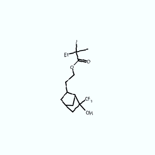 CCC(C)(I)C(=O)OCCC1CC2CC1C(O)(C(F)(F)F)C2